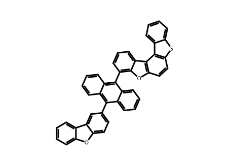 c1ccc2c(c1)oc1ccc(-c3c4ccccc4c(-c4cccc5c4oc4ccc6sc7ccccc7c6c45)c4ccccc34)cc12